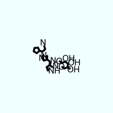 N#CCC(C1CCCC1)n1cc(-c2nc(OC3OCC(O)C(O)C3O)nc3[nH]ccc23)cn1